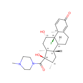 C[C@H]1C[C@H]2[C@@H]3CCC4=CC(=O)C=C[C@]4(C)[C@@]3(F)[C@@H](O)C[C@]2(C)[C@@]1(O)C(=O)N1CCN(C)CC1